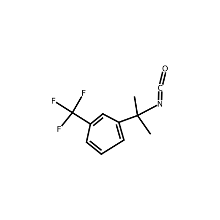 CC(C)(N=C=O)c1cccc(C(F)(F)F)c1